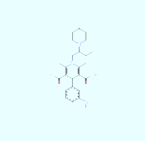 CCC(CN1C(C)=C(C(=O)O)C(c2cccc([N+](=O)[O-])c2)C(C(=O)O)=C1C)N1CCCCC1